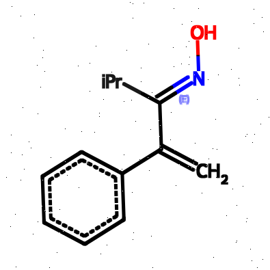 C=C(/C(=N/O)C(C)C)c1ccccc1